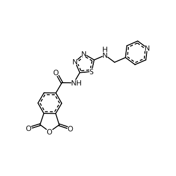 O=C(Nc1nnc(NCc2ccncc2)s1)c1ccc2c(c1)C(=O)OC2=O